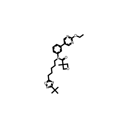 CCOc1ncc(-c2cccc(N(CCCCCc3nc(C(C)(C)C)no3)C(=O)C3(C)COC3)c2)cn1